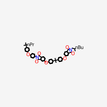 CCCCC(C)CN1C(=O)c2ccc(Oc3ccc(C(C)(C)c4ccc(Oc5ccc6c(c5)C(=O)N(c5ccc(Oc7ccc(C(C)(C)CCC)cc7)cc5)C6=O)cc4)cc3)cc2C1=O